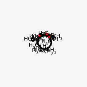 CO[C@@H]1C[C@H](CC(C)[C@@H]2CC[C@H](C)/C=C(\C)[C@@H](O)[C@@H](OC)C(=O)[C@H](C)C[C@H](C)/C=C/C=C/C=C(\C)[C@@H](NS(=O)(=O)C(C)C)C[C@@H]3CC[C@@H](C)[C@@](O)(O3)C(=O)C(=O)N3CCCC[C@H]3C(=O)O2)CC[C@H]1O